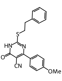 COc1ccc(-c2nc(SCCc3ccccc3)[nH]c(=O)c2C#N)cc1